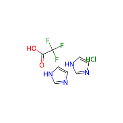 Cl.O=C(O)C(F)(F)F.c1c[nH]cn1.c1c[nH]cn1